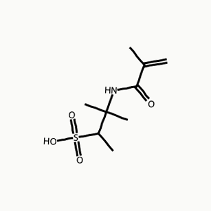 C=C(C)C(=O)NC(C)(C)C(C)S(=O)(=O)O